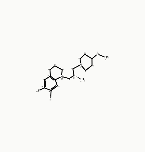 CCCOC1CCN(C[C@H](C)CN2CCCc3cc(F)c(F)cc32)CC1